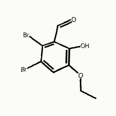 CCOc1cc(Br)c(Br)c(C=O)c1O